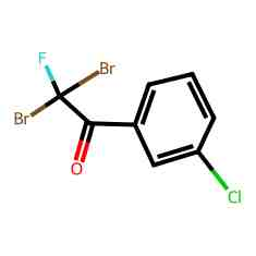 O=C(c1cccc(Cl)c1)C(F)(Br)Br